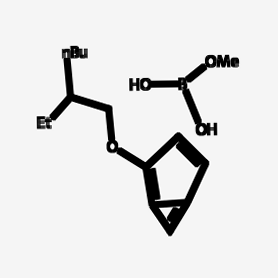 CCCCC(CC)COc1ccc2cc1-2.COB(O)O